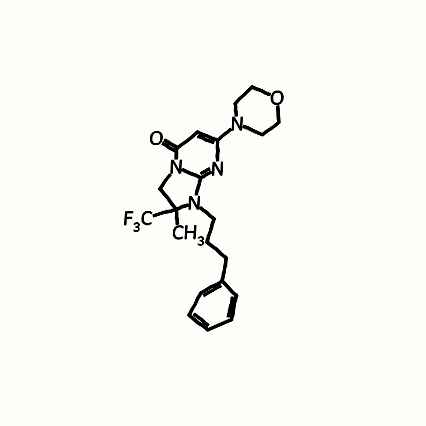 CC1(C(F)(F)F)Cn2c(nc(N3CCOCC3)cc2=O)N1CCCc1ccccc1